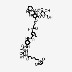 CC(C)[C@H](NC(=O)CCCCCN1C(=O)C=CC1=O)C(=O)N[C@@H](C)C(=O)Nc1ccc(NC(=O)c2cc(NC(=O)CCCOc3cc4c(cc3O[C@@H]3O[C@H](CO)[C@H](O)[C@H](O)[C@H]3O)C(=O)N3CCCC[C@H]3C=N4)cn2C)cc1